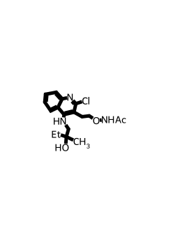 CCC(C)(O)CNc1c(CCONC(C)=O)c(Cl)nc2ccccc12